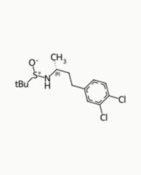 C[C@H](CCc1ccc(Cl)c(Cl)c1)N[S+]([O-])C(C)(C)C